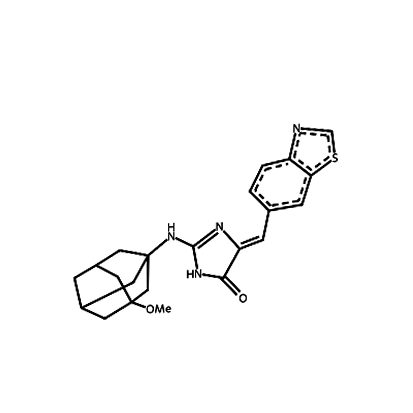 COC12CC3CC(CC(NC4=N/C(=C\c5ccc6ncsc6c5)C(=O)N4)(C3)C1)C2